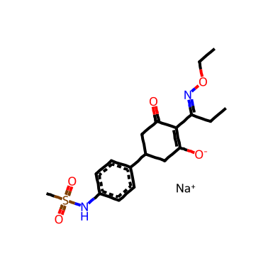 CCON=C(CC)C1=C([O-])CC(c2ccc(NS(C)(=O)=O)cc2)CC1=O.[Na+]